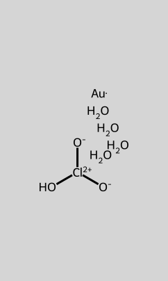 O.O.O.O.[Au].[O-][Cl+2]([O-])O